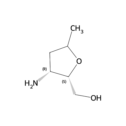 CC1C[C@@H](N)[C@@H](CO)O1